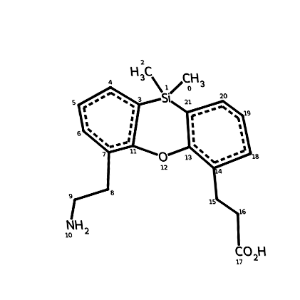 C[Si]1(C)c2cccc(CCN)c2Oc2c(CCC(=O)O)cccc21